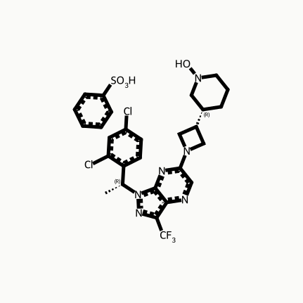 C[C@H](c1ccc(Cl)cc1Cl)n1nc(C(F)(F)F)c2ncc(N3CC([C@H]4CCCN(O)C4)C3)nc21.O=S(=O)(O)c1ccccc1